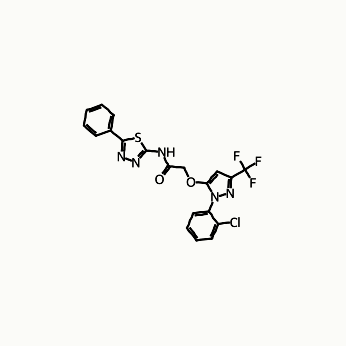 O=C(COc1cc(C(F)(F)F)nn1-c1ccccc1Cl)Nc1nnc(-c2ccccc2)s1